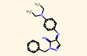 CCN(CC)c1ccc(N=C2C=NN(Cc3ccccc3)C2=N)cc1